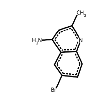 Cc1cc(N)c2cc(Br)ccc2n1